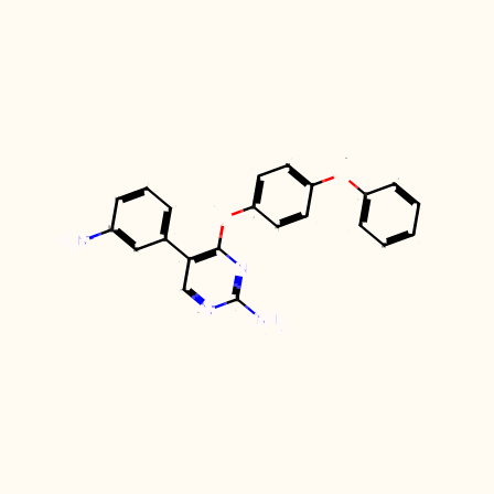 Nc1cccc(-c2cnc(N)nc2Oc2ccc(Oc3ccccc3)cc2)c1